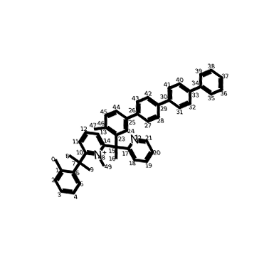 Cc1ccccc1C(C)(C)c1cccc(C(C)(c2ccccn2)c2cc(-c3ccc(-c4ccc(-c5ccccc5)cc4)cc3)ccc2C)[n+]1C